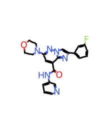 O=C(Nc1cccnc1)c1cc(N2CCOCC2)nn2cc(-c3cccc(F)c3)nc12